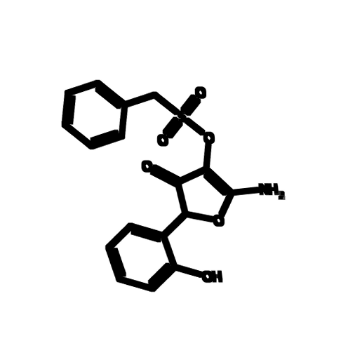 NC1=C(OS(=O)(=O)Cc2ccccc2)C(=O)C(c2ccccc2O)O1